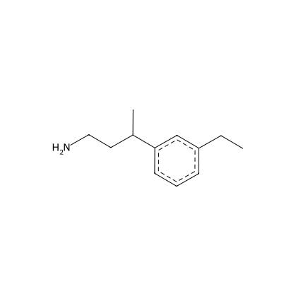 CCc1cccc(C(C)CCN)c1